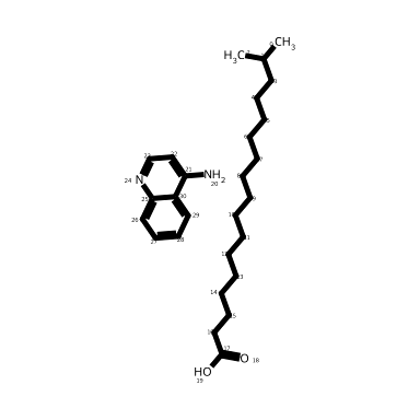 CC(C)CCCCCCCCCCCCCCC(=O)O.Nc1ccnc2ccccc12